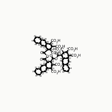 O=C(O)c1c(C(=O)O)c(C(=O)OC(=O)c2c(C(=O)O)c(C(=O)O)c3cc4ccccc4cc3c2C(=O)OC(=O)c2c(C(=O)O)c(C(=O)O)c(C(=O)O)c3cc4ccccc4cc23)c2cc3ccccc3cc2c1C(=O)O